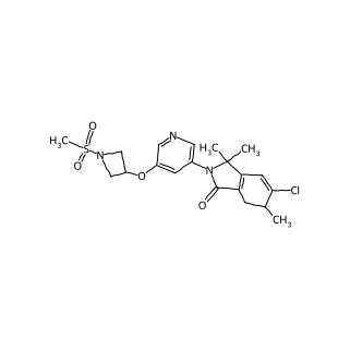 CC1CC2=C(C=C1Cl)C(C)(C)N(c1cncc(OC3CN(S(C)(=O)=O)C3)c1)C2=O